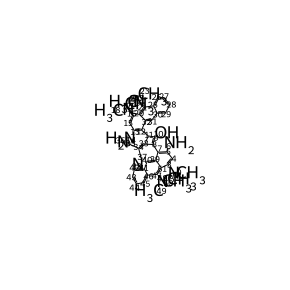 CN(C)c1cc(N)c(C2=C(O)C(c3c(N)cc(N(C)C)c4c(N(C)C)c5ccccc5cc34)C2=C(C#N)C#N)c2cc3ccccc3c(N(C)C)c12